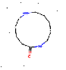 O=C1CCCCNCCCCCN1